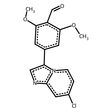 COc1cc(-c2cnc3cc(Cl)ccn23)cc(OC)c1C=O